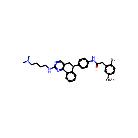 CCc1ccc(OC)cc1CC(=O)Nc1ccc(C2Cc3cnc(NCCCCN(C)C)nc3-c3ccccc32)cc1